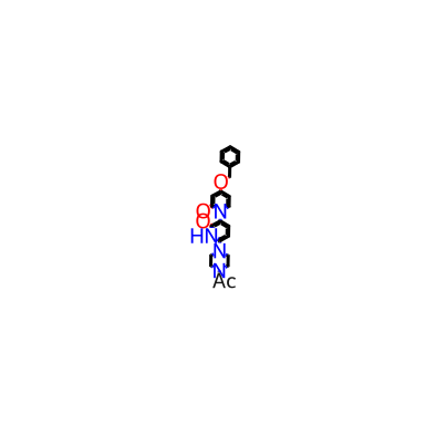 CC(=O)N1CCN(c2ccc(-n3ccc(OCc4ccccc4)cc3=O)c(=O)[nH]2)CC1